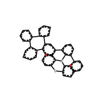 c1ccc(-c2cccc(-c3ccc4c(c3)-c3ccccc3-c3ccccc3-c3ccccc3-4)c2B2c3ccccc3Oc3ccccc32)cc1